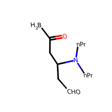 BC(=O)CC(CC=O)N(CCC)CCC